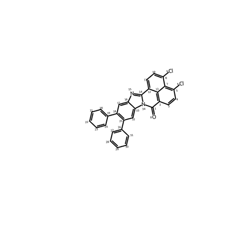 O=c1c2ccc(Cl)c3c(Cl)ccc(c32)c2nc3cc(-c4ccccc4)c(-c4ccccc4)cc3n12